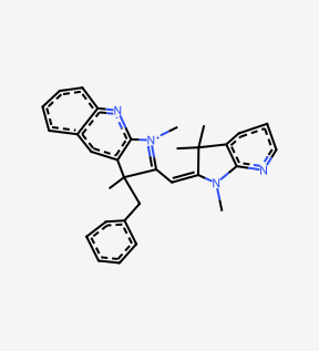 CN1C(=CC2=[N+](C)c3nc4ccccc4cc3C2(C)Cc2ccccc2)C(C)(C)c2cccnc21